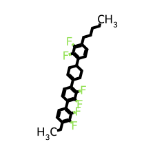 CCCCCc1ccc(C2CC=C(c3ccc(-c4ccc(CC)c(F)c4F)c(F)c3F)CC2)c(F)c1F